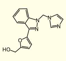 OCc1ccc(-c2nn(Cn3ccnc3)c3ccccc23)o1